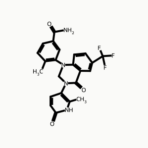 Cc1ccc(C(N)=O)cc1N1CN(c2ccc(=O)[nH]c2C)C(=O)c2cc(C(F)(F)F)ccc21